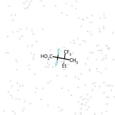 CC[C@@](C)(C(F)(F)F)C(F)(F)C(=O)O